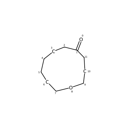 O=C1CCCCCCOCCC1